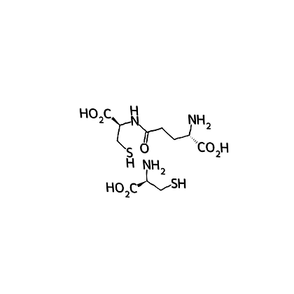 N[C@@H](CCC(=O)N[C@@H](CS)C(=O)O)C(=O)O.N[C@@H](CS)C(=O)O